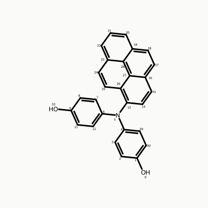 Oc1ccc(N(c2ccc(O)cc2)c2ccc3ccc4cccc5ccc2c3c45)cc1